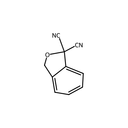 N#CC1(C#N)OCc2ccccc21